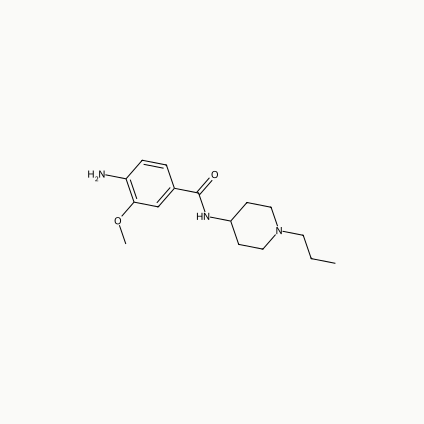 CCCN1CCC(NC(=O)c2ccc(N)c(OC)c2)CC1